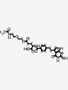 CC(=O)NCCOCCOC(=O)CCC(NC(=O)c1ccc(CCc2c[nH]c3nc(N)[nH]c(=O)c23)cc1)C(=O)O